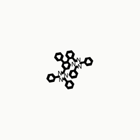 c1ccc(-c2nc(-c3ccccc3)nc(-c3ccc(-c4ccccc4-c4nc(-c5ccccc5)nc(-c5ccccc5)n4)c(-c4ccccc4)c3)n2)cc1